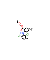 CCOCOC(=O)c1ccccc1Nc1c(Cl)ccc(C)c1Cl.[Ag]